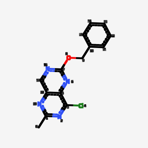 Cc1nc(Cl)c2nc(OCc3ccccc3)ncc2n1